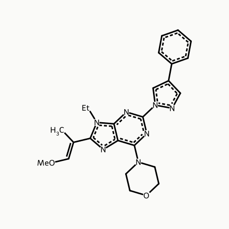 CCn1c(C(C)=COC)nc2c(N3CCOCC3)nc(-n3cc(-c4ccccc4)cn3)nc21